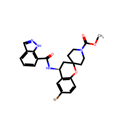 COC(=O)N1CCC2(CC1)C[C@H](NC(=O)c1cccc3cn[nH]c13)c1cc(Br)ccc1O2